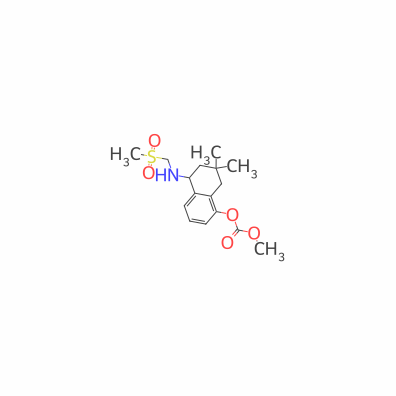 COC(=O)Oc1cccc2c1CC(C)(C)CC2NCS(C)(=O)=O